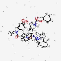 Cc1c(C(=O)N(C)c2ccc(O)cc2)cc(-c2cc3c(cc2C(=O)N2Cc4ccccc4C[C@H]2C)CN(C(=O)OC2CCCCC2)CC3)n1C